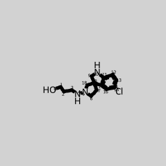 OCCCNN1CCC2(CNc3ccc(Cl)cc32)C1